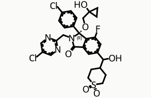 O=C1c2cc(C(O)C3CCS(=O)(=O)CC3)cc(F)c2[C@](OCC2(O)CC2)(c2ccc(Cl)cc2)N1Cc1ncc(Cl)cn1